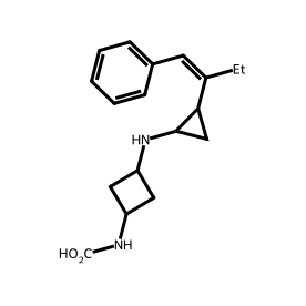 CCC(=Cc1ccccc1)C1CC1NC1CC(NC(=O)O)C1